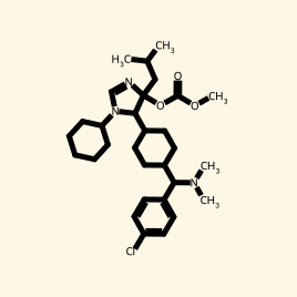 COC(=O)OC1(CC(C)C)N=CN(C2CCCCC2)C1C1CCC(C(c2ccc(Cl)cc2)N(C)C)CC1